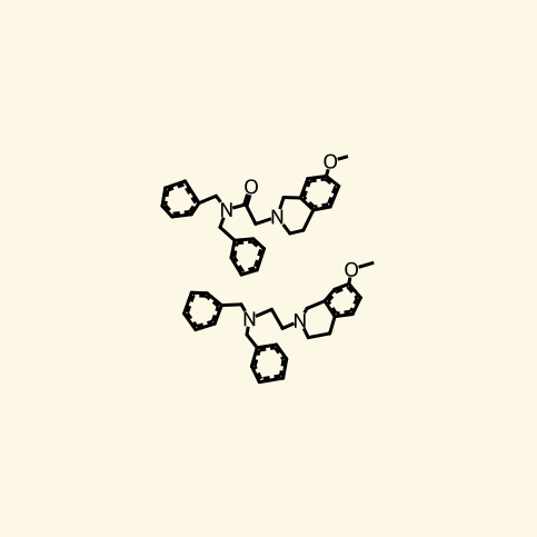 COc1ccc2c(c1)CN(CC(=O)N(Cc1ccccc1)Cc1ccccc1)CC2.COc1ccc2c(c1)CN(CCN(Cc1ccccc1)Cc1ccccc1)CC2